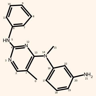 Cc1cnc(Nc2ccccc2)nc1N(C)c1cccc(N)c1